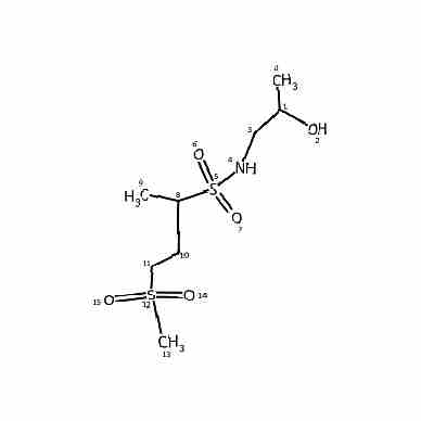 CC(O)CNS(=O)(=O)C(C)CCS(C)(=O)=O